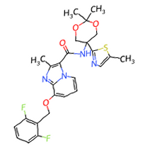 Cc1cnc(C2(NC(=O)c3c(C)nc4c(OCc5c(F)cccc5F)cccn34)COC(C)(C)OC2)s1